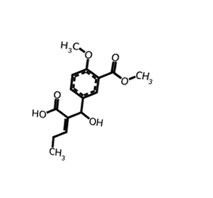 CCC=C(C(=O)O)C(O)c1ccc(OC)c(C(=O)OC)c1